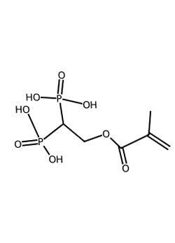 C=C(C)C(=O)OCC(P(=O)(O)O)P(=O)(O)O